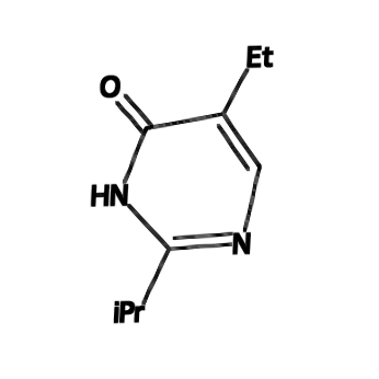 CCc1cnc(C(C)C)[nH]c1=O